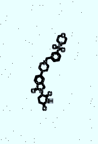 O=C1CCC(N2Cc3cc(C4CCN(Cc5cccc(S(=O)(=O)N6CCOCC6)c5)CC4)ccc3C2=O)C(=O)N1